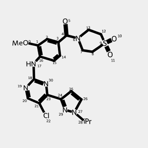 COc1cc(C(=O)N2CCS(=O)(=O)CC2)ccc1Nc1ncc(Cl)c(-c2ccn(C(C)C)n2)n1